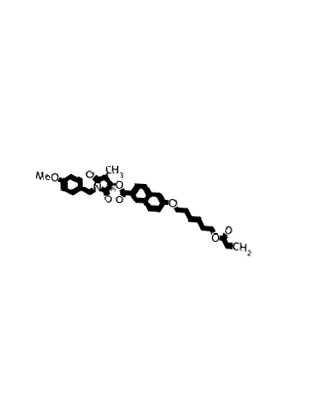 C=CC(=O)OCCCCCCOc1ccc2cc(C(=O)O[C@H]3C(=O)N(Cc4ccc(OC)cc4)C(=O)[C@@H]3C)ccc2c1